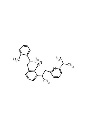 Cc1ccccc1C(C)Cc1cccc(C(C)Cc2cccc(C(C)C)n2)c1C#N